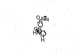 O=C(N1CCC(n2c3c([nH]c2=O)NCC=C3)CC1)n1ccnc1